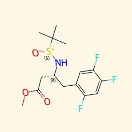 COC(=O)C[C@@H](Cc1cc(F)c(F)cc1F)N[S@+]([O-])C(C)(C)C